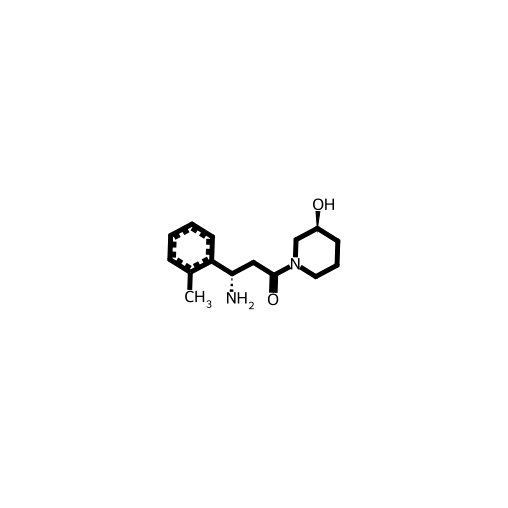 Cc1ccccc1[C@@H](N)CC(=O)N1CCC[C@H](O)C1